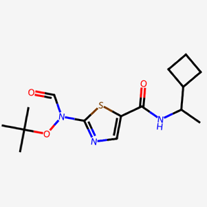 CC(NC(=O)c1cnc(N(C=O)OC(C)(C)C)s1)C1CCC1